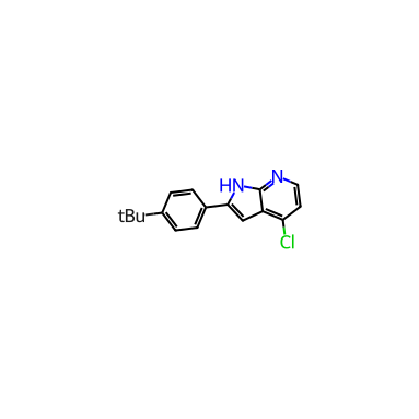 CC(C)(C)c1ccc(-c2cc3c(Cl)ccnc3[nH]2)cc1